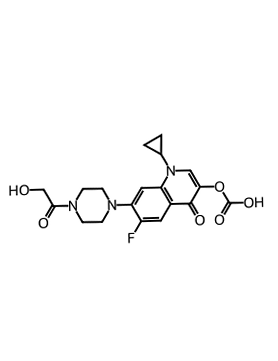 O=C(O)Oc1cn(C2CC2)c2cc(N3CCN(C(=O)CO)CC3)c(F)cc2c1=O